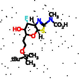 CN(C(=O)O)C1=N[C@@H]2[C@@H](F)[C@H](O)[C@H](CCO[Si](C)(C)C(C)(C)C)O[C@@H]2S1